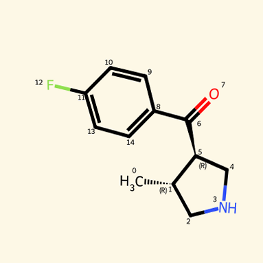 C[C@H]1CNC[C@@H]1C(=O)c1ccc(F)cc1